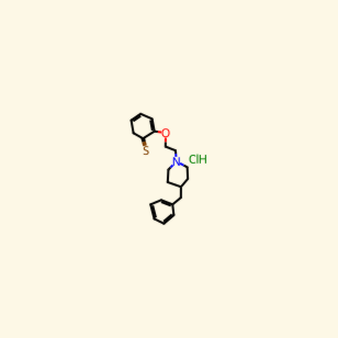 Cl.S=C1CC=CC=C1OCCN1CCC(Cc2ccccc2)CC1